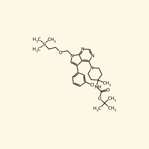 CC1(NC(=O)OC(C)(C)C)CCN(c2ncnc3c2c(-c2cccc(Cl)c2)cn3COCC[Si](C)(C)C)CC1